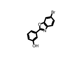 Oc1cccc(-c2nc3ccc(Br)cc3o2)c1